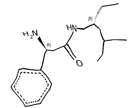 CC[C@@H](NC(=O)[C@H](N)c1ccccc1)C(C)C